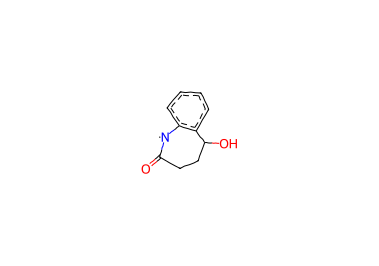 O=C1CCC(O)c2ccccc2[N]1